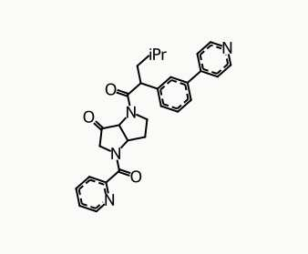 CC(C)CC(C(=O)N1CCC2C1C(=O)CN2C(=O)c1ccccn1)c1cccc(-c2ccncc2)c1